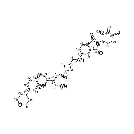 N=C/C(=C\N[C@H]1C[C@H](CNc2ccc3c(c2)C(=O)N(C2CCC(=O)NC2=O)C3=O)C1)c1cnc2ccc(C3CCOCC3)cc2n1